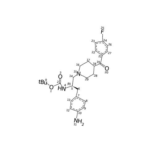 CC(C)(C)OC(=O)N[C@H](Cc1ccc(N)cc1)CN1CCC(C(=O)c2ccc(F)cc2)CC1